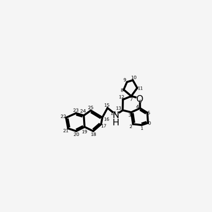 c1ccc2c(c1)OC1(CCCC1)CC2NCc1ccc2ccccc2c1